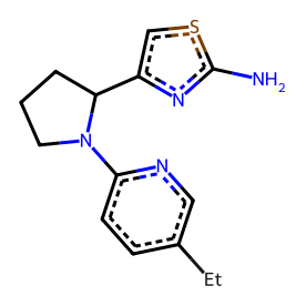 CCc1ccc(N2CCCC2c2csc(N)n2)nc1